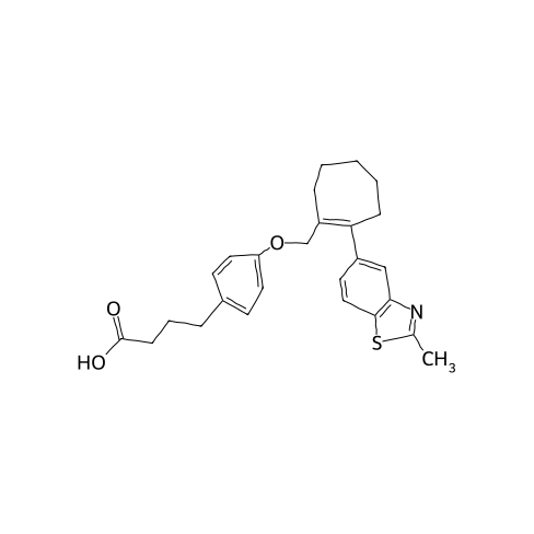 Cc1nc2cc(C3=C(COc4ccc(CCCC(=O)O)cc4)CCCCC3)ccc2s1